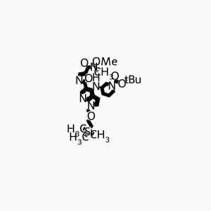 CON(C)C(=O)c1cnc(-c2cnc3c(ccn3COCC[Si](C)(C)C)c2N[C@@H]2CCCN(C(=O)OC(C)(C)C)C2)o1